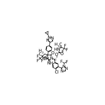 C[C@H](NC(=O)OC[C@H](c1ccc(Cl)c(-c2ncnn2C(F)F)c1)N1C(=N)N[C@](CC(C)(C)C(F)(F)F)(c2ccc(-c3cnn(C4CC4)n3)cc2)C1=O)C(F)(F)F